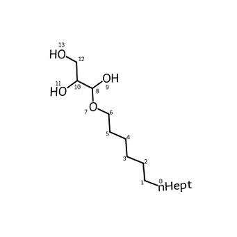 CCCCCCCCCCCCCOC(O)C(O)CO